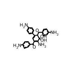 NC1=C(C(=O)c2ccc(N)cc2)C=C(c2ccc(N)cc2)C(C(=O)c2ccc(N)cc2)C1(O)O